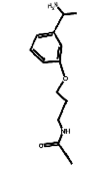 CC(=O)NCCCOc1cccc(C(C)N)c1